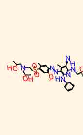 COc1cc(S(=O)(=O)CCN(CC(C)O)CC(C)O)c(C)cc1/N=N/c1c(Nc2ccccc2)nc(NCC(C)O)c(C#N)c1C